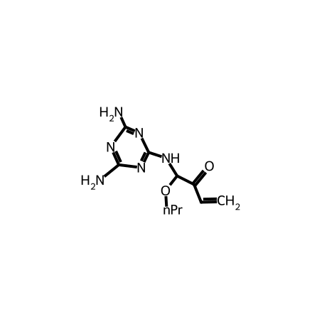 C=CC(=O)C(Nc1nc(N)nc(N)n1)OCCC